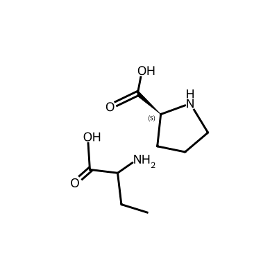 CCC(N)C(=O)O.O=C(O)[C@@H]1CCCN1